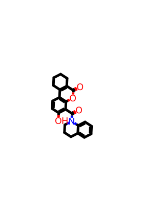 O=C(c1c(O)ccc2c3c(c(=O)oc12)CCCC3)N1CCCc2ccccc21